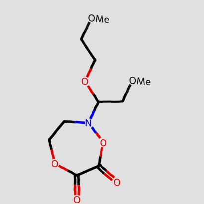 COCCOC(COC)N1CCOC(=O)C(=O)O1